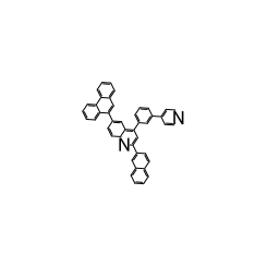 c1cc(-c2ccncc2)cc(-c2cc(-c3ccc4ccccc4c3)nc3ccc(-c4cc5ccccc5c5ccccc45)cc23)c1